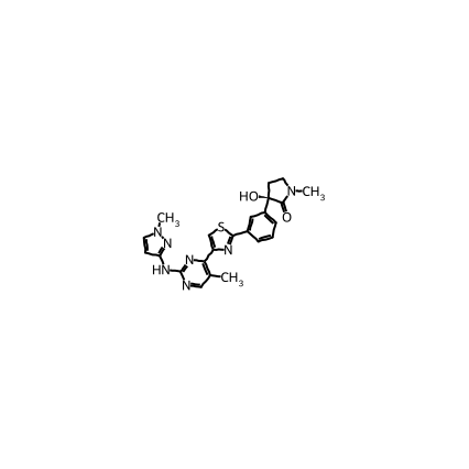 Cc1cnc(Nc2ccn(C)n2)nc1-c1csc(-c2cccc([C@]3(O)CCN(C)C3=O)c2)n1